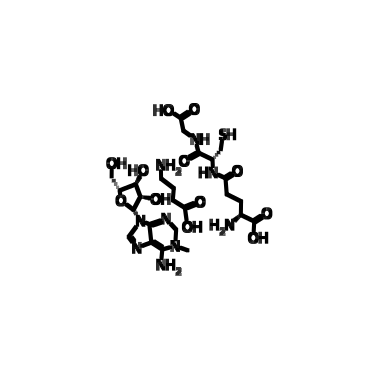 CN1CN=c2c(ncn2[C@@H]2O[C@H](CO)[C@@H](O)[C@H]2O)=C1N.NCCCC(=O)O.N[C@@H](CCC(=O)N[C@@H](CS)C(=O)NCC(=O)O)C(=O)O